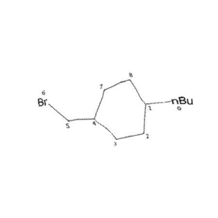 CCCCC1CCC(CBr)CC1